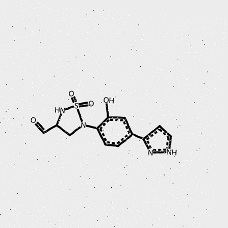 O=CC1CN(c2ccc(-c3cc[nH]n3)cc2O)S(=O)(=O)N1